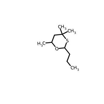 CCCC1OC(C)CC(C)(C)S1